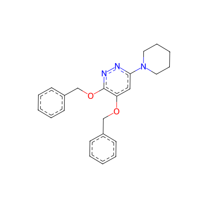 c1ccc(COc2cc(N3CCCCC3)nnc2OCc2ccccc2)cc1